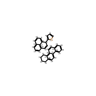 C1=CC(c2cccs2)c2cccc3cccc1c23.c1ccc2c(c1)ccc1c3c(ccc12)CCCC3